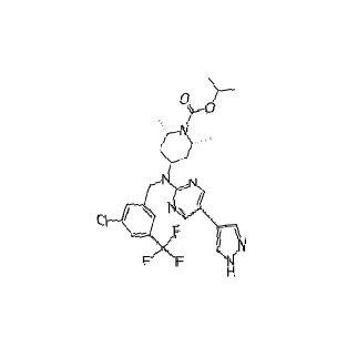 CC(C)OC(=O)N1[C@H](C)CC(N(Cc2cc(Cl)cc(C(F)(F)F)c2)c2ncc(-c3cn[nH]c3)cn2)C[C@@H]1C